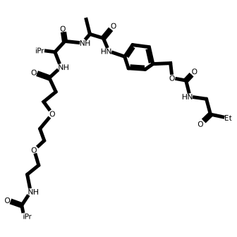 CCC(=O)CNC(=O)OCc1ccc(NC(=O)C(C)NC(=O)C(NC(=O)CCOCCOCCNC(=O)C(C)C)C(C)C)cc1